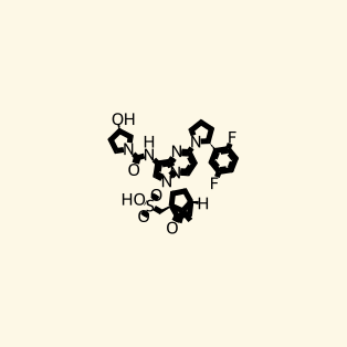 CC1(C)[C@@H]2CC[C@@]1(CS(=O)(=O)O)C(=O)C2.O=C(Nc1cnn2ccc(N3CCC[C@@H]3c3cc(F)ccc3F)nc12)N1CC[C@H](O)C1